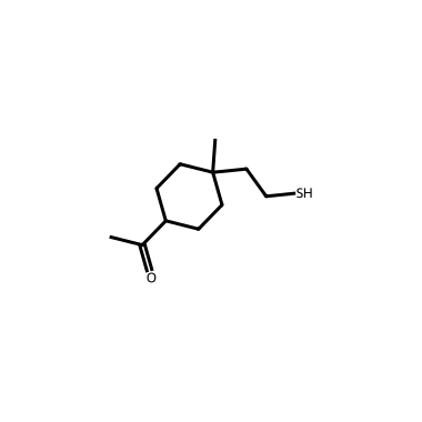 CC(=O)C1CCC(C)(CCS)CC1